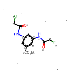 CCOC(=O)c1cc(NC(=O)CCl)cc(NC(=O)CCl)c1